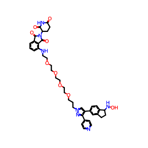 O=C1CCC(N2C(=O)c3cccc(NCCOCCOCCOCCOCCCn4cc(-c5ccc6c(c5)CCC6NO)c(-c5ccncc5)n4)c3C2=O)C(=O)N1